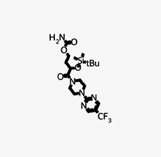 CC(C)(C)[Si](C)(C)OC(CCOC(N)=O)C(=O)N1CCN(c2ncc(C(F)(F)F)cn2)CC1